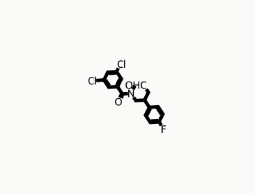 CN(CC(CC=O)c1ccc(F)cc1)C(=O)c1cc(Cl)cc(Cl)c1